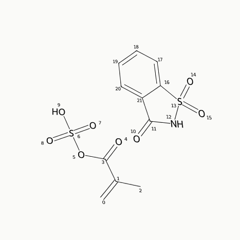 C=C(C)C(=O)OS(=O)(=O)O.O=C1NS(=O)(=O)c2ccccc21